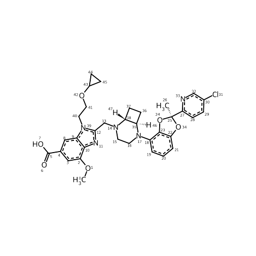 COc1cc(C(=O)O)cc2c1nc(CN1CCN(c3cccc4c3O[C@@](C)(c3ccc(Cl)cn3)O4)[C@@H]3CC[C@H]31)n2CCOC1CC1